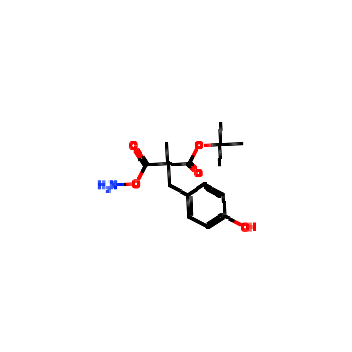 CC(C)(C)OC(=O)C(C)(Cc1ccc(O)cc1)C(=O)ON